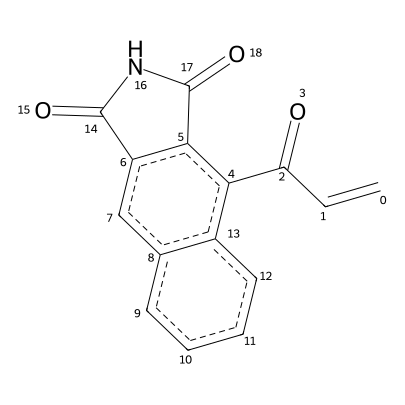 C=CC(=O)c1c2c(cc3ccccc13)C(=O)NC2=O